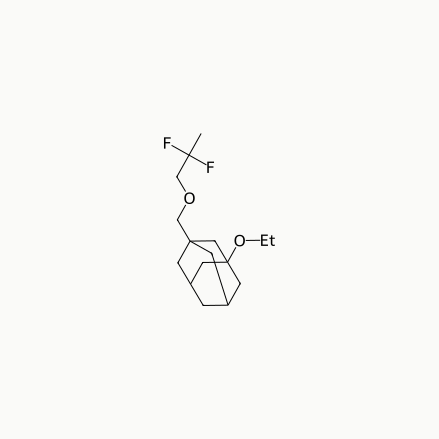 CCOC12CC3CC(CC(COCC(C)(F)F)(C3)C1)C2